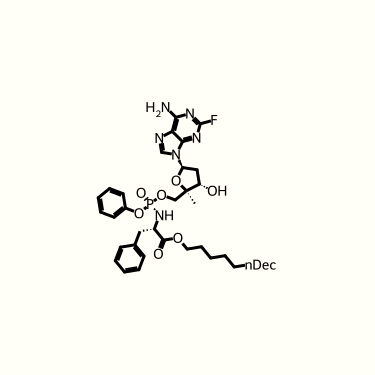 CCCCCCCCCCCCCCCOC(=O)[C@H](Cc1ccccc1)N[P@](=O)(OC[C@@]1(C)O[C@@H](n2cnc3c(N)nc(F)nc32)C[C@@H]1O)Oc1ccccc1